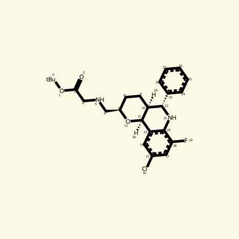 CC(C)(C)OC(=O)CNC[C@H]1CC[C@@H]2[C@H](O1)c1cc(Cl)cc(F)c1N[C@H]2c1ccccc1